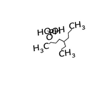 CCCCC(CCC)CCCC.O=[PH](O)O